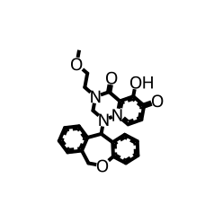 COCCN1CN(C2c3ccccc3COc3ccccc32)n2ccc(=O)c(O)c2C1=O